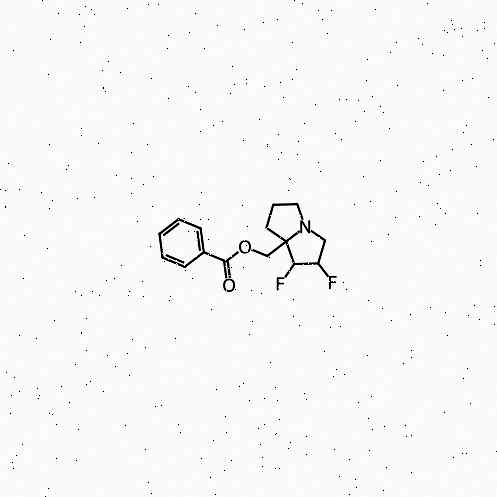 O=C(OCC12CCCN1CC(F)C2F)c1ccccc1